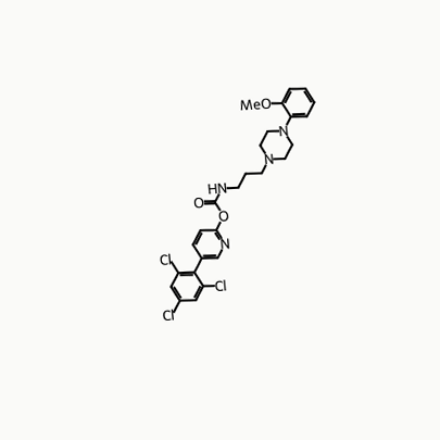 COc1ccccc1N1CCN(CCCNC(=O)Oc2ccc(-c3c(Cl)cc(Cl)cc3Cl)cn2)CC1